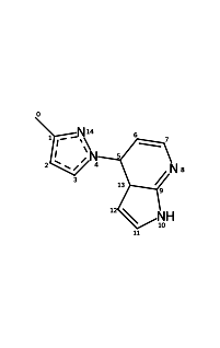 Cc1ccn(C2C=CN=C3NC=CC32)n1